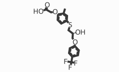 Cc1cc(SC[C@H](O)COc2ccc(C(F)(F)F)cc2)ccc1OCC(=O)O